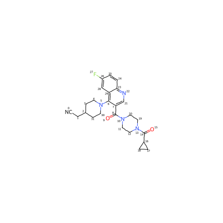 N#CCC1CCN(c2c(C(=O)N3CCN(C(=O)C4CC4)CC3)cnc3ccc(F)cc23)CC1